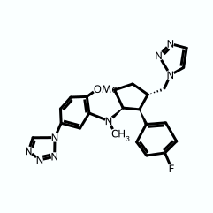 COc1ccc(-n2cnnn2)cc1N(C)[C@H]1CC[C@H](Cn2ccnn2)[C@H]1c1ccc(F)cc1